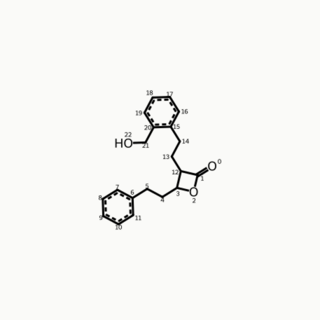 O=C1OC(CCc2ccccc2)C1CCc1ccccc1CO